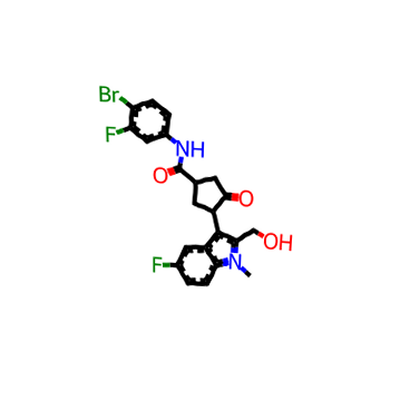 Cn1c(CO)c(C2CC(C(=O)Nc3ccc(Br)c(F)c3)CC2=O)c2cc(F)ccc21